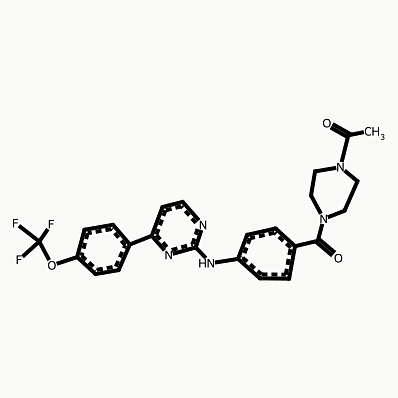 CC(=O)N1CCN(C(=O)c2ccc(Nc3nccc(-c4ccc(OC(F)(F)F)cc4)n3)cc2)CC1